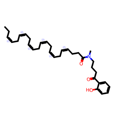 CC/C=C\C/C=C\C/C=C\C/C=C\C/C=C\C/C=C\CCC(=O)N(C)CCCC(=O)c1ccccc1O